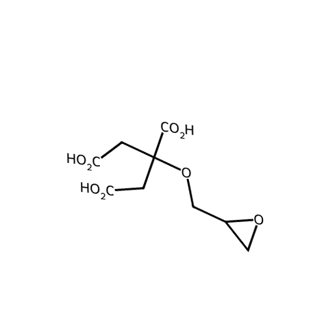 O=C(O)CC(CC(=O)O)(OCC1CO1)C(=O)O